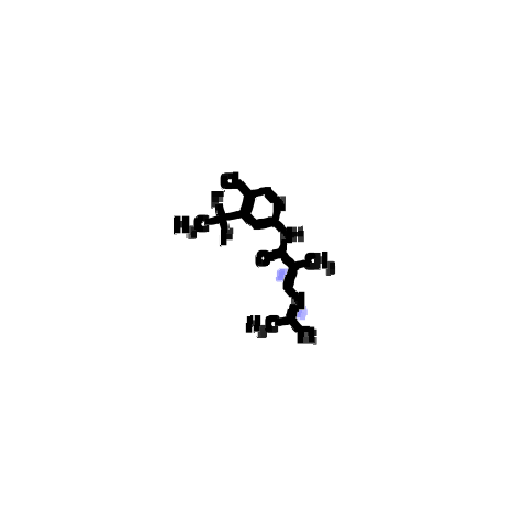 CC/C(C)=N/C=C(\C)C(=O)Nc1cc(C(C)(F)F)c(Cl)cn1